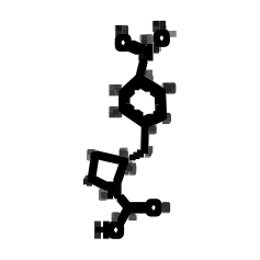 O=C(O)N1CC[C@@H]1Cc1ccc([N+](=O)[O-])cc1